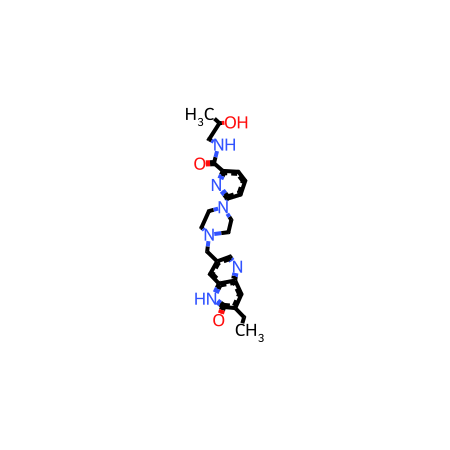 CCc1cc2ncc(CN3CCN(c4cccc(C(=O)NCC(C)O)n4)CC3)cc2[nH]c1=O